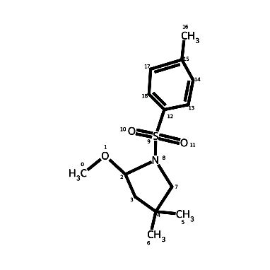 COC1CC(C)(C)CN1S(=O)(=O)c1ccc(C)cc1